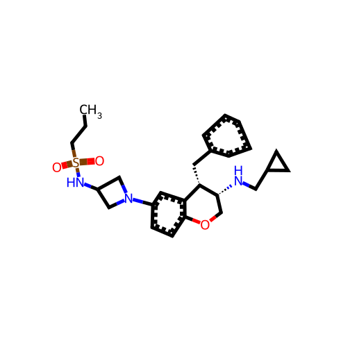 CCCS(=O)(=O)NC1CN(c2ccc3c(c2)[C@H](Cc2ccccc2)[C@H](NCC2CC2)CO3)C1